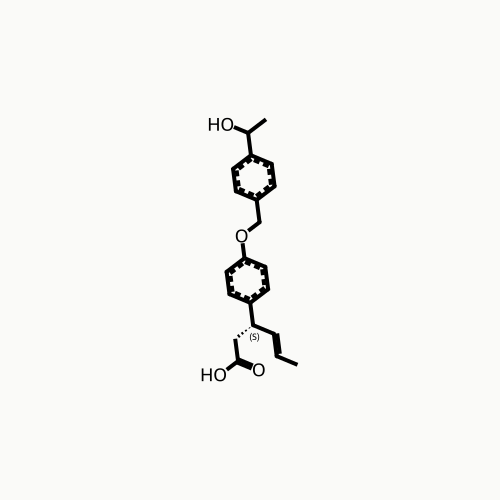 CC=C[C@H](CC(=O)O)c1ccc(OCc2ccc(C(C)O)cc2)cc1